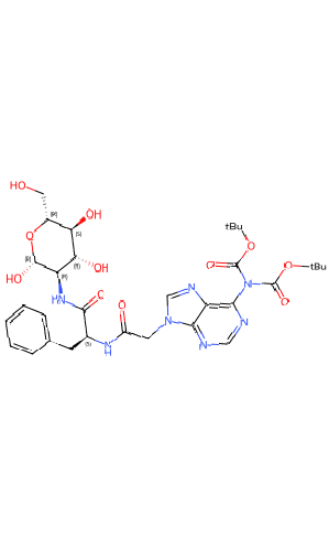 CC(C)(C)OC(=O)N(C(=O)OC(C)(C)C)c1ncnc2c1ncn2CC(=O)N[C@@H](Cc1ccccc1)C(=O)N[C@@H]1[C@@H](O)[C@H](O)[C@@H](CO)O[C@H]1O